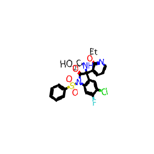 CCOc1ncccc1C1(NC(=O)O)C(=O)N(S(=O)(=O)c2ccccc2)c2cc(F)c(Cl)cc21